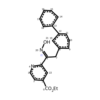 CCOC(=O)c1ccnc(/C(Cc2cccc(-c3ccccc3)c2)=N/O)c1